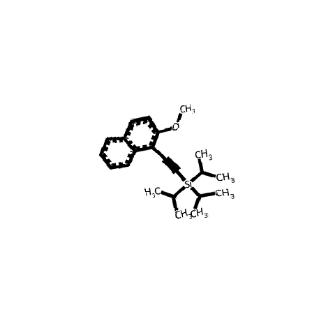 COc1ccc2ccccc2c1C#C[Si](C(C)C)(C(C)C)C(C)C